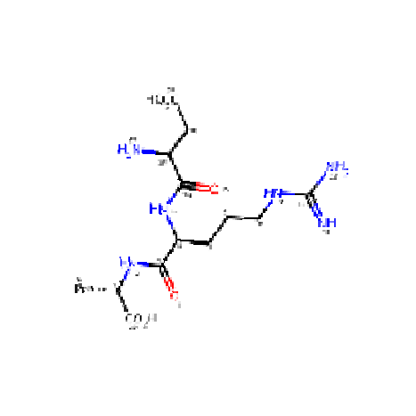 CC(C)[C@H](NC(=O)[C@H](CCCNC(=N)N)NC(=O)[C@@H](N)CC(=O)O)C(=O)O